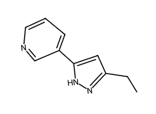 CCc1cc(-c2cccnc2)[nH]n1